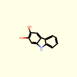 Oc1cc2[nH]c3ccccc3c2cc1O